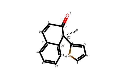 C[C@@]1(c2cccs2)C(=O)C=Cc2ccccc21